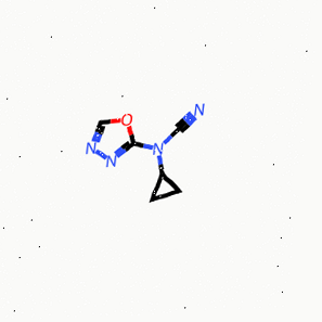 N#CN(c1nnco1)C1CC1